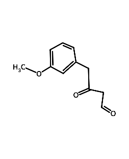 COc1cccc(CC(=O)CC=O)c1